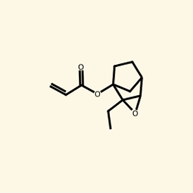 C=CC(=O)OC12CCC(C1)C1OC12CC